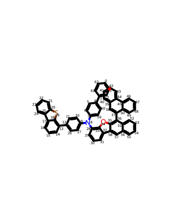 c1ccc(-c2ccc(N(c3ccc(-c4cccc5c4sc4ccccc45)cc3)c3cccc4c3oc3c(-c5cc6ccccc6c6ccccc56)c5ccccc5cc34)cc2)cc1